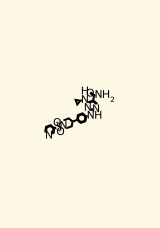 NC(=O)c1cnc(Nc2ccc(C3CCN(S(=O)(=O)c4cccnc4)CC3)cc2)nc1NC1CC1